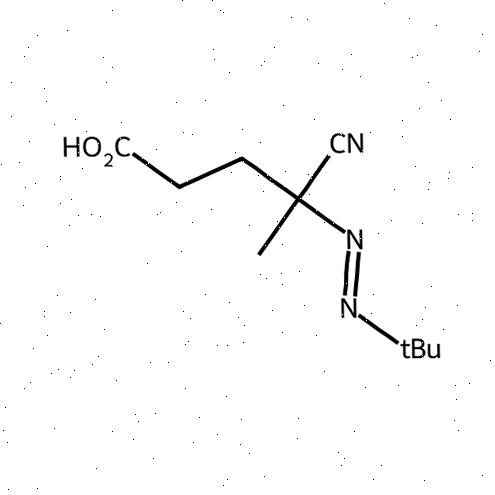 CC(C)(C)N=NC(C)(C#N)CCC(=O)O